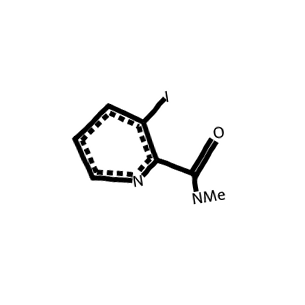 CNC(=O)c1ncccc1I